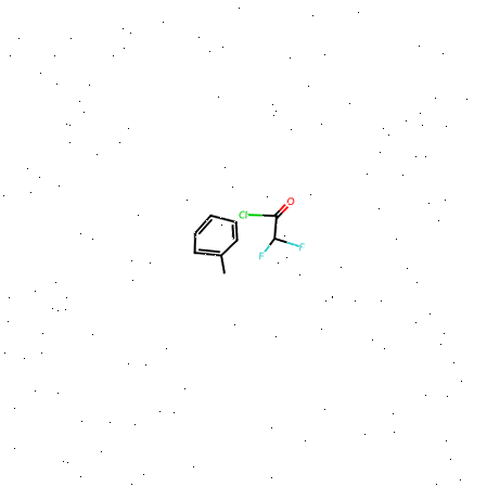 Cc1ccccc1.O=C(Cl)C(F)F